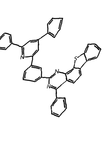 c1ccc(-c2cc(-c3ccccc3)nc(-c3cccc(-c4nc(-c5ccccc5)c5ccc6c7ccccc7sc6c5n4)c3)c2)cc1